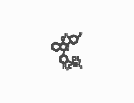 CC(C)(N)c1cccc(-c2nn(-c3ccc(F)cc3F)c(=O)c3ccccc23)c1